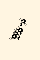 CCCN(Cc1ccc(OCCN2C(=O)CCC2=O)c(F)c1)C(CC(=O)O)c1ccc(Cl)cc1